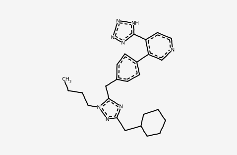 CCCCn1nc(CC2CCCCC2)nc1Cc1ccc(-c2cnccc2-c2nnn[nH]2)cc1